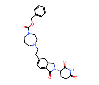 O=C1CC[C@H](N2CC3CC(CCN4CCCN(C(=O)OCc5ccccc5)CC4)=CC=C3C2=O)C(=O)N1